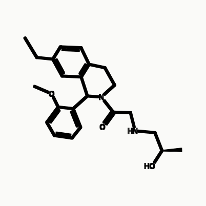 CCc1ccc2c(c1)C(c1ccccc1OC)N(C(=O)CNC[C@@H](C)O)CC2